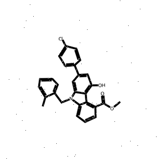 COC(=O)c1cccc2c1c1c(O)cc(-c3ccc(Cl)cc3)cc1n2Cc1ccccc1C